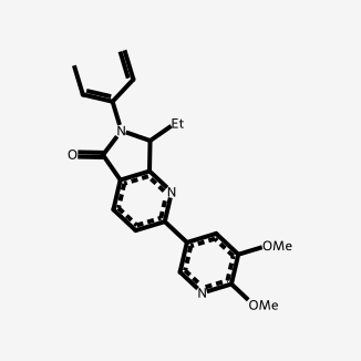 C=C/C(=C\C)N1C(=O)c2ccc(-c3cnc(OC)c(OC)c3)nc2C1CC